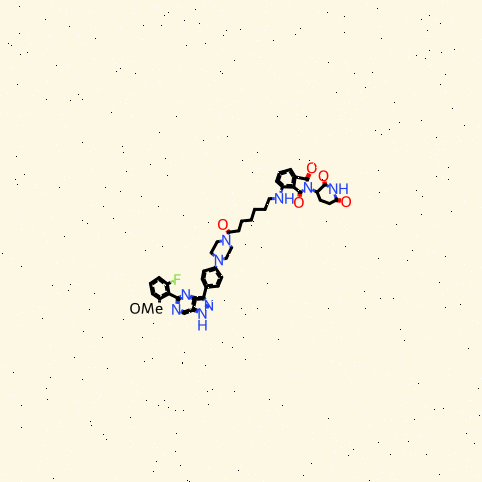 COc1cccc(F)c1-c1ncc2[nH]nc(-c3ccc(N4CCN(C(=O)CCCCCCNc5cccc6c5C(=O)N(C5CCC(=O)NC5=O)C6=O)CC4)cc3)c2n1